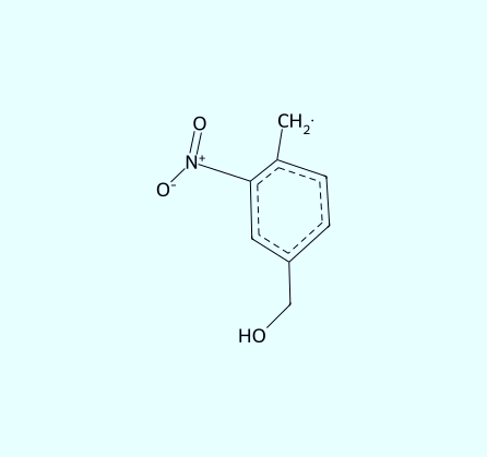 [CH2]c1ccc(CO)cc1[N+](=O)[O-]